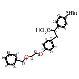 CC(C)(C)c1ccc(C(Cc2ccc(OCCOCc3ccccc3)cc2)C(=O)O)cc1